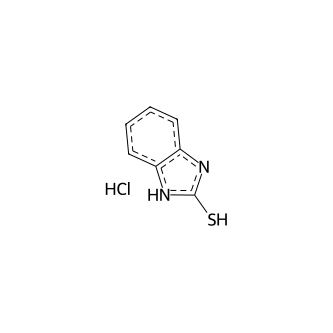 Cl.Sc1nc2ccccc2[nH]1